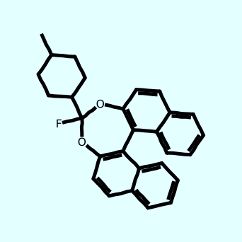 CC1CCC(C2(F)Oc3ccc4ccccc4c3-c3c(ccc4ccccc34)O2)CC1